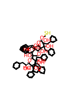 OC(Cc1ccccc1)[C@H]1O[C@@H]([C@@]2(O)[C@@H](C(O)Cc3ccccc3)O[C@H](OCS)[C@@](O)(Cc3ccccc3)[C@]2(O)Cc2ccccc2)[C@@](O)(Cc2ccccc2)[C@](O)(Cc2ccccc2)[C@]1(O)[C@@H]1O[C@H](C(O)Cc2ccccc2)[C@](O)(Cc2ccccc2)[C@@](O)(Cc2ccccc2)[C@]1(O)Cc1ccccc1